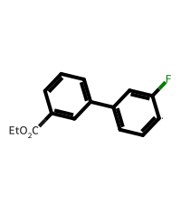 CCOC(=O)c1cccc(-c2cc[c]c(F)c2)c1